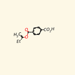 C=C(CC)OC(=O)c1ccc(C(=O)O)cc1